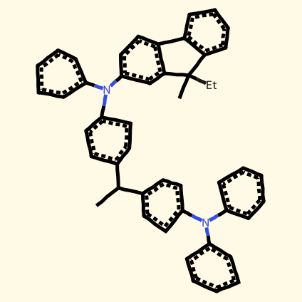 CCC1(C)c2ccccc2-c2ccc(N(c3ccccc3)c3ccc(C(C)c4ccc(N(c5ccccc5)c5ccccc5)cc4)cc3)cc21